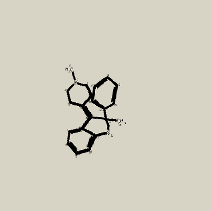 CN1CCC(=C2c3ccccc3SC2(C)c2ccccc2)CC1